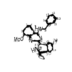 COc1cccc2c(NCc3ccccc3)nc(C3NC(=O)c4ccccc43)nc12